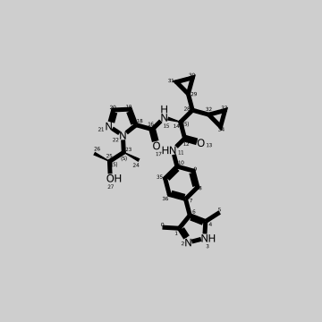 Cc1n[nH]c(C)c1-c1ccc(NC(=O)[C@@H](NC(=O)c2ccnn2[C@@H](C)[C@H](C)O)C(C2CC2)C2CC2)cc1